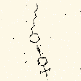 CCCCCCC[C@H]1CC[C@H](C#Cc2ccc(C(F)(F)F)cc2)CC1